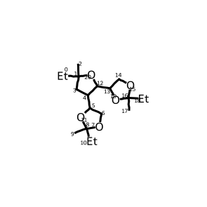 CCC1(C)CC(C2COC(C)(CC)O2)C(C2COC(C)(CC)O2)O1